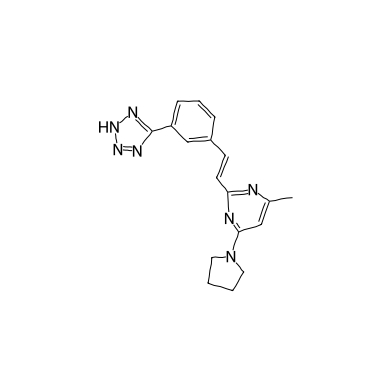 Cc1cc(N2CCCC2)nc(C=Cc2cccc(-c3nn[nH]n3)c2)n1